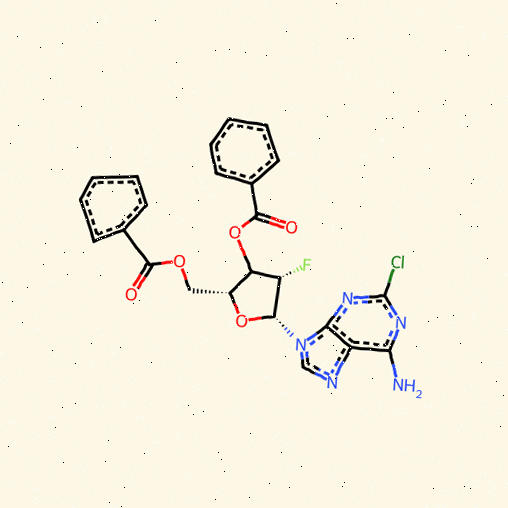 Nc1nc(Cl)nc2c1ncn2[C@@H]1O[C@H](COC(=O)c2ccccc2)C(OC(=O)c2ccccc2)[C@@H]1F